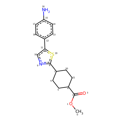 COC(=O)C1CCC(c2ncc(-c3ccc(N)cc3)s2)CC1